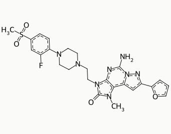 Cn1c(=O)n(CCN2CCN(c3ccc(S(C)(=O)=O)cc3F)CC2)c2nc(N)n3nc(-c4ccco4)cc3c21